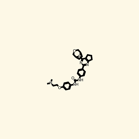 CN(C)CCOc1ccc(NC(=O)Nc2ccc(-c3nc4c(c(N5C6CCC5COC6)n3)CCC4)cc2)cc1